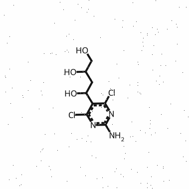 Nc1nc(Cl)c(C(O)CC(O)CO)c(Cl)n1